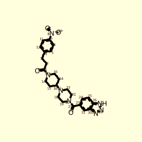 O=C(CCc1ccc([N+](=O)[O-])cc1)N1CCC(N2CCN(C(=O)c3ccc4[nH]nnc4c3)CC2)CC1